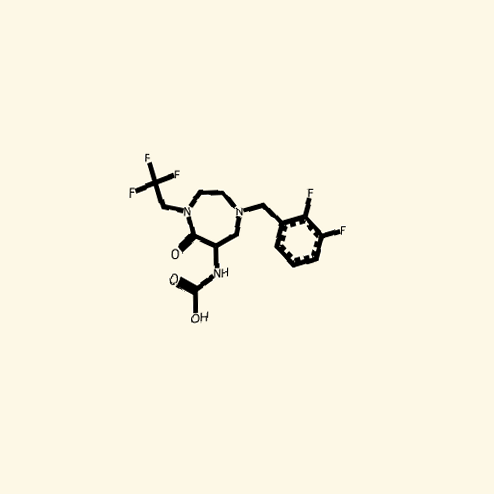 O=C(O)NC1CN(Cc2cccc(F)c2F)CCN(CC(F)(F)F)C1=O